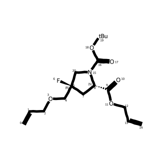 C=CCOC[C@@]1(F)C[C@@H](C(=O)OCC=C)N(C(=O)OC(C)(C)C)C1